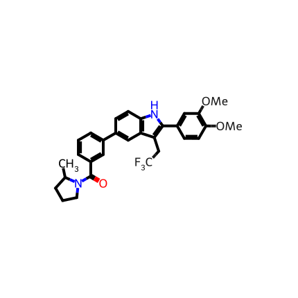 COc1ccc(-c2[nH]c3ccc(-c4cccc(C(=O)N5CCCC5C)c4)cc3c2CC(F)(F)F)cc1OC